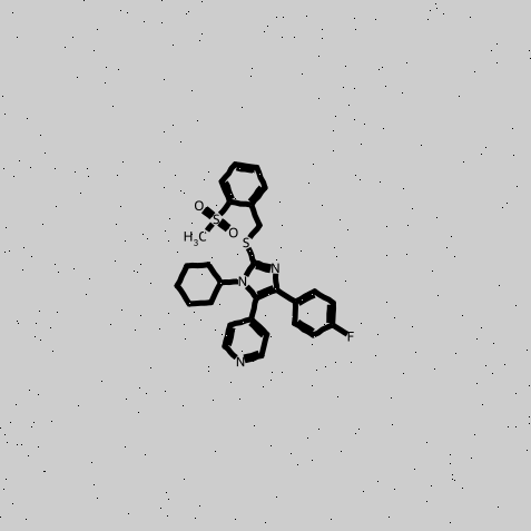 CS(=O)(=O)c1ccccc1CSc1nc(-c2ccc(F)cc2)c(-c2ccncc2)n1C1CCCCC1